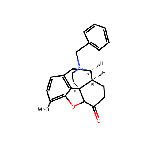 COc1ccc2c3c1OC1C(=O)CC[C@@H]4[C@H](C2)N(Cc2ccccc2)CC[C@@]314